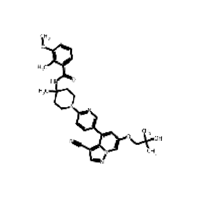 COc1cccc(C(=O)NC2(C)CCN(c3ccc(-c4cc(OCC(C)(C)O)cn5ncc(C#N)c45)cn3)CC2)c1C